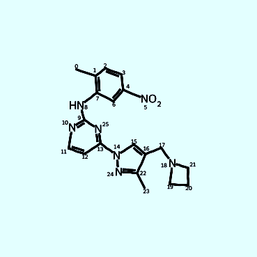 Cc1ccc([N+](=O)[O-])cc1Nc1nccc(-n2cc(CN3CCC3)c(C)n2)n1